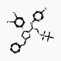 CC(C)(C)[Si](C)(C)OC[C@H](Oc1ccc(Cl)cn1)[C@H]1CN(Cc2ccccc2)C[C@@H]1c1ccc(Cl)c(Cl)c1